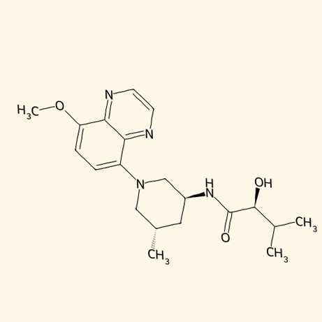 COc1ccc(N2C[C@@H](C)C[C@H](NC(=O)[C@@H](O)C(C)C)C2)c2nccnc12